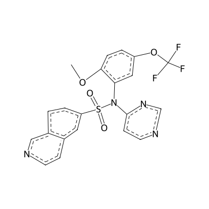 COc1ccc(OC(F)(F)F)cc1N(c1ccncn1)S(=O)(=O)c1ccc2cnccc2c1